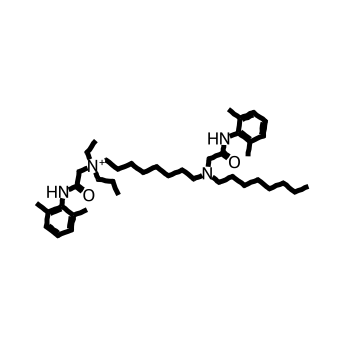 CCCCCCCCN(CCCCCCCC[N+](CC)(CCC)CC(=O)Nc1c(C)cccc1C)CC(=O)Nc1c(C)cccc1C